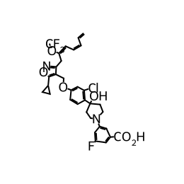 C=C/C=C\C=C(/Cc1noc(C2CC2)c1COc1ccc(C2(O)CCN(c3cc(F)cc(C(=O)O)c3)CC2)c(Cl)c1)OC(F)(F)F